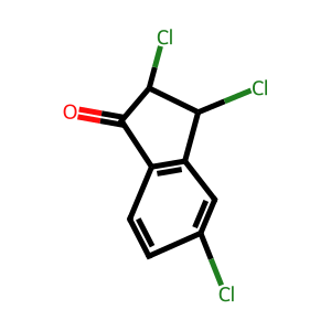 O=C1c2ccc(Cl)cc2C(Cl)C1Cl